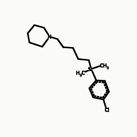 C[Si](C)(CCCCCN1CCCCC1)c1ccc(Cl)cc1